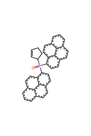 O=P(c1ccc2ccc3cccc4ccc1c2c34)(c1ccc2ccc3cccc4ccc1c2c34)C1C=CCC1